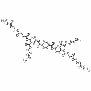 C=CC(=O)OCCOC(=O)CCC(=O)Oc1ccc(OC(=O)C2CCC(C(=O)Oc3ccc(OC(=O)CCC(=O)OCCOC(=O)C=C)c(C(=O)OCCOCC)c3)CC2)cc1C(=O)OCCOCC